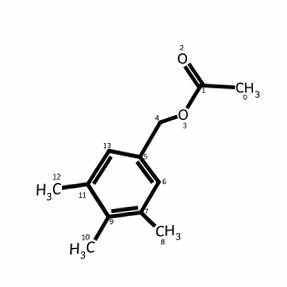 CC(=O)OCc1cc(C)c(C)c(C)c1